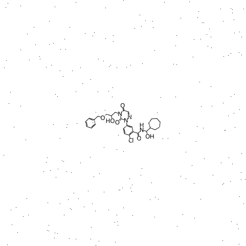 O=C(NC(O)C1CCCCCC1)c1cc(-n2ncc(=O)n(CC(O)COCc3ccccc3)c2=O)ccc1Cl